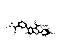 CCCNC(=O)c1cccc(-c2ccc3c(c2)C(C(=O)NC)C(c2ccc(F)cc2)O3)c1